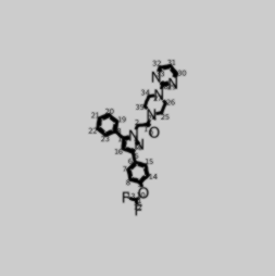 O=C(Cn1nc(-c2ccc(OC(F)F)cc2)cc1-c1ccccc1)N1CCN(c2ncccn2)CC1